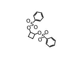 O=S(=O)(OC1CCC1OS(=O)(=O)c1ccccc1)c1ccccc1